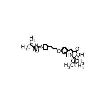 CC(C)c1noc(N2CCC(CCCOc3ccc(CC(NC(=O)OC(C)(C)C)C(=O)O)cc3)CC2)n1